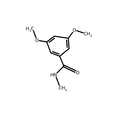 CNC(=O)c1cc(OC)cc(OC)c1